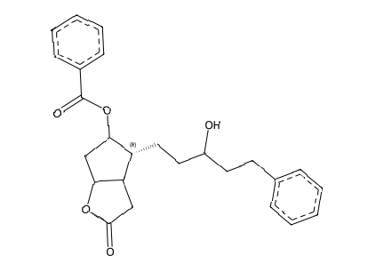 O=C1CC2C(CC(OC(=O)c3ccccc3)[C@@H]2CCC(O)CCc2ccccc2)O1